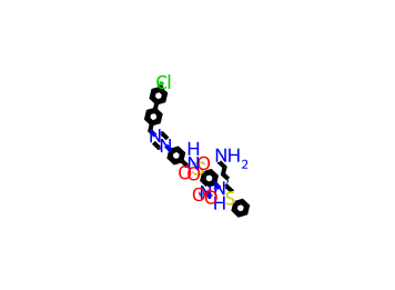 NCCCC[C@H](CSc1ccccc1)Nc1ccc(S(=O)(=O)NC(=O)c2ccc(N3CCN(Cc4ccc(-c5ccc(Cl)cc5)cc4)CC3)cc2)cc1[N+](=O)[O-]